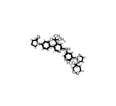 CC1(C)Oc2cc(N3CCCC3=O)ccc2-c2cnc(Nc3cncc(N4SCCN4C4(C)CCOOC4)c3)cc21